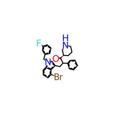 O=C(C(Cc1cn(Cc2cccc(F)c2)c2cccc(Br)c12)c1ccccc1)[C@@H]1CCCNC1